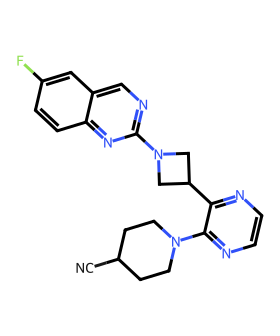 N#CC1CCN(c2nccnc2C2CN(c3ncc4cc(F)ccc4n3)C2)CC1